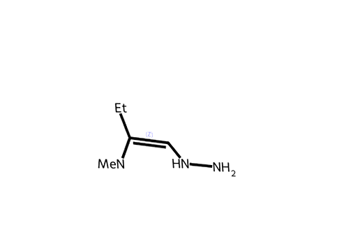 CC/C(=C/NN)NC